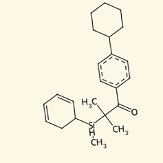 C[SiH](C1C=CC=CC1)C(C)(C)C(=O)c1ccc(C2CCCCC2)cc1